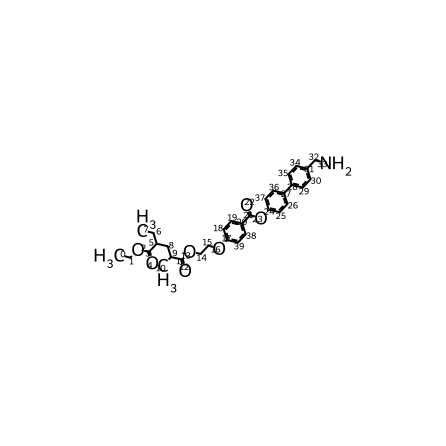 CCOC(=O)C(CC)CC(C)C(=O)OCCOc1ccc(C(=O)Oc2ccc(-c3ccc(CN)cc3)cc2)cc1